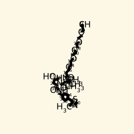 C#CCOCCOCCOCCOCCOCCC(=O)NC(C(=O)N1C[C@H](O)C[C@H]1C(=O)NCc1ccc(-c2scnc2C)cc1)C(C)(C)C